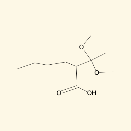 CCCCC(C(=O)O)C(C)(OC)OC